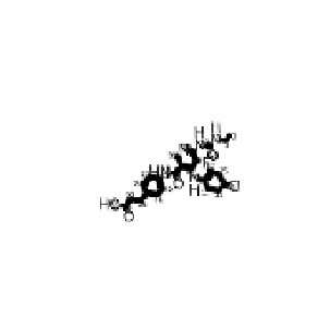 CCNC(=O)Nc1cc(Nc2ccc(Cl)cc2F)c(C(=O)Nc2ccc(CCC(=O)O)cc2)cn1